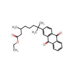 CCOC(=O)CC(C)CCCC(C)(C)c1ccc2c(c1)C(=O)c1ccccc1C2=O